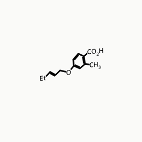 CCC=CCOc1ccc(C(=O)O)c(C)c1